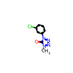 Cn1nnn(-c2cccc(Cl)c2)c1=O